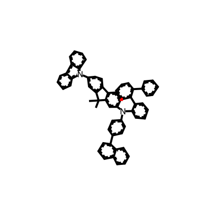 CC1(C)c2cc(N(c3ccc(-c4cccc5ccccc45)cc3)c3ccccc3-c3ccccc3-c3ccccc3)ccc2-c2ccc(-n3c4ccccc4c4ccccc43)cc21